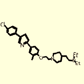 CCN(CC)CCC1CCN(CCOc2ccc(-c3ccc(-c4ccc(Cl)cc4)cn3)cc2C)CC1